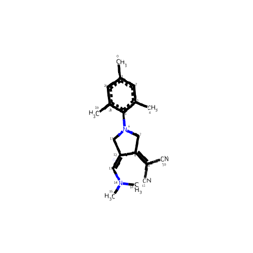 Cc1cc(C)c(N2CC(=C(C#N)C#N)/C(=C\N(C)C)C2)c(C)c1